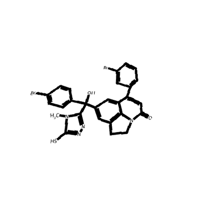 Cn1c(S)nnc1C(O)(c1ccc(Br)cc1)c1cc2c3c(c1)c(-c1cccc(Br)c1)cc(=O)n3CC2